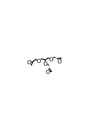 C(OCC1CO1)C(COC[C@H]1CO1)OC[C@@H]1CO1